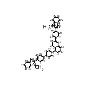 Cn1c(-c2ccc(-c3ccc(-c4cccc5cc(-c6ccc(-c7nc8ccccc8n7C)cc6)ccc45)cc3)cc2)nc2ccccc21